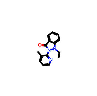 CCn1c2ccccc2c(=O)n1-c1ncccc1C